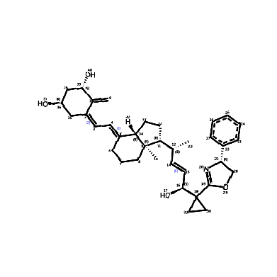 C=C1/C(=C\C=C2/CCC[C@]3(C)[C@@H]([C@H](C)/C=C/[C@H](O)C4(C5=N[C@H](c6ccccc6)CO5)CC4)CC[C@@H]23)C[C@@H](O)C[C@@H]1O